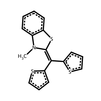 CN1C(=C(c2cccs2)c2cccs2)Sc2ccccc21